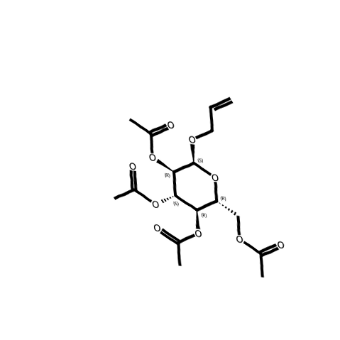 C=CCO[C@H]1O[C@H](COC(C)=O)[C@@H](OC(C)=O)[C@H](OC(C)=O)[C@H]1OC(C)=O